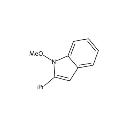 COn1c(C(C)C)cc2ccccc21